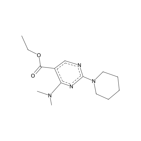 CCOC(=O)c1cnc(N2CCCCC2)nc1N(C)C